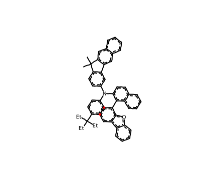 CCC(CC)(CC)c1ccc(N(c2ccc3c(c2)-c2cc4ccccc4cc2C3(C)C)c2ccc3ccccc3c2-c2cccc3c2oc2ccccc23)cc1